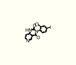 O=c1[nH]c2ccncc2c(=O)n1-c1ccc(I)cc1Cl